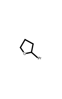 CC(C)[C]1CCCO1